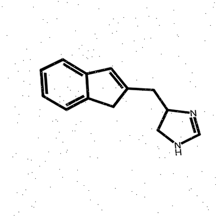 C1=NC(CC2=Cc3ccccc3C2)CN1